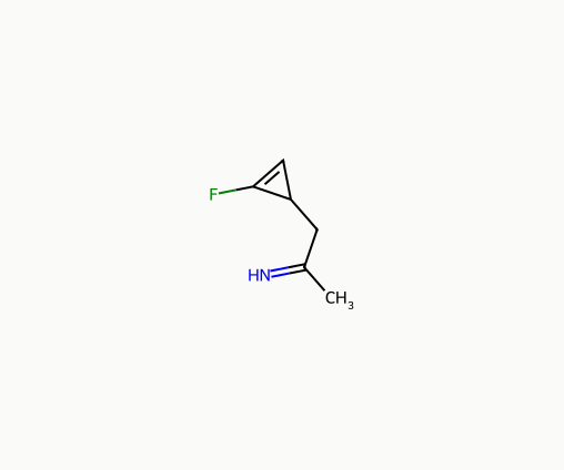 CC(=N)CC1C=C1F